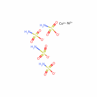 NS(=O)(=O)[O-].NS(=O)(=O)[O-].NS(=O)(=O)[O-].NS(=O)(=O)[O-].[Co+2].[Ni+2]